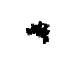 CC(=O)OC[C@H]1O[C@@H](S[C@@H]2O[C@H](COC(C)=O)[C@H](OC(C)=O)[C@@](O)(n3cc(-c4cccc(F)c4)nn3)[C@H]2OC(C)=O)[C@H](OC(C)=O)[C@](O)(n2cc(-c3cccc(F)c3)nn2)[C@H]1OC(C)=O